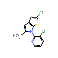 O=C(O)c1cc2cc(Cl)sc2n1-c1ncccc1Cl